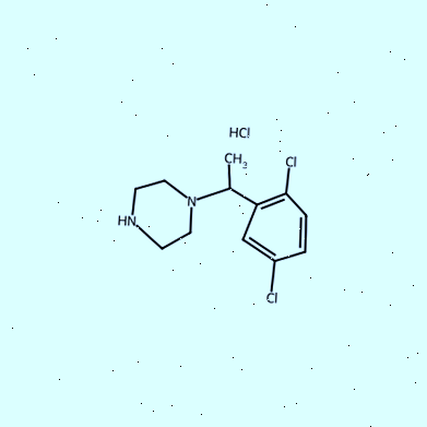 CC(c1cc(Cl)ccc1Cl)N1CCNCC1.Cl